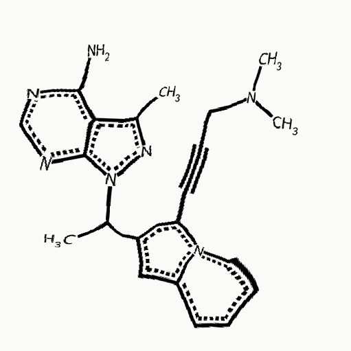 Cc1nn(C(C)c2cc3ccccn3c2C#CCN(C)C)c2ncnc(N)c12